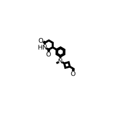 CN(c1cccc(C2CCC(=O)NC2=O)c1)C1CC(C=O)C1